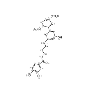 CC(=O)N[C@@H]1CC=C(C(=O)O)O[C@H]1[C@@H](CCO)OC(=O)NCCCOC(=O)c1ccc(O)c(O)c1